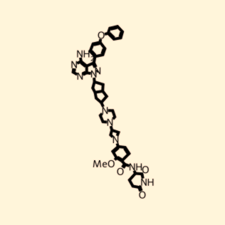 COc1cc(N2CC(N3CCN(C4CC5CC(n6nc(-c7ccc(Oc8ccccc8)cc7)c7c(N)ncnc76)CC5C4)CC3)C2)ccc1C(=O)NC1CCC(=O)NC1=O